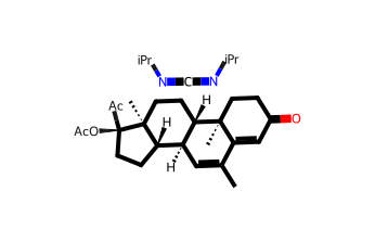 CC(=O)O[C@]1(C(C)=O)CC[C@H]2[C@@H]3C=C(C)C4=CC(=O)CC[C@]4(C)[C@H]3CC[C@@]21C.CC(C)N=C=NC(C)C